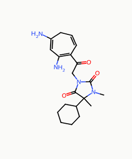 CN1C(=O)N(CC(=O)C2=C(N)C=C(N)CC=C2)C(=O)C1(C)C1CCCCC1